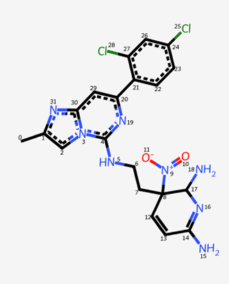 Cc1cn2c(NCCC3([N+](=O)[O-])C=CC(N)=NC3N)nc(-c3ccc(Cl)cc3Cl)cc2n1